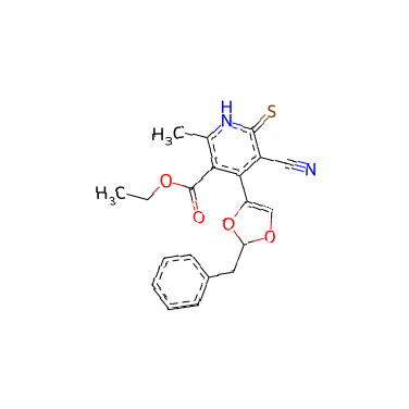 CCOC(=O)c1c(C)[nH]c(=S)c(C#N)c1C1=COC(Cc2ccccc2)O1